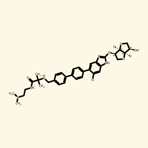 CN(C)CCNC(=O)C(C)(C)NCc1ccc(-c2ccc(-c3cc4nc(O[C@@H]5CO[C@H]6[C@@H]5OC[C@H]6O)[nH]c4cc3Cl)cc2)cc1